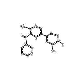 Cc1cc(-c2cnc(N)c(C(=O)c3cccnc3)n2)ccc1Cl